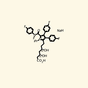 CC(C)n1c(CC[C@@H](O)C[C@@H](O)CC(=O)O)c(-c2ccc(F)cc2)c(-c2ccc(F)cc2)c1C(=O)N(F)c1ccc(F)cc1.[NaH]